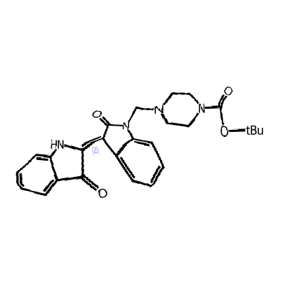 CC(C)(C)OC(=O)N1CCN(CN2C(=O)/C(=C3\Nc4ccccc4C3=O)c3ccccc32)CC1